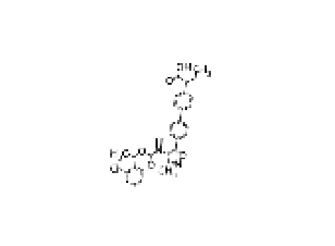 CCC(C(=O)O)c1ccc(-c2ccc(-c3onc(C)c3NC(=O)O[C@H](C)c3ccccc3Cl)cc2)cc1